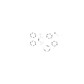 NC(=O)c1ccc(CN/C(=C(\NCC2C=CC=C3Cc4ccccc4C3=C2)c2ccc(F)cc2)c2ccc(F)cc2)cc1